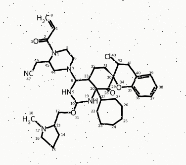 C=CC(=O)N1CCN(C2NC(OCC3CCCN3C)NC3(C4CCCCCC4)C(=O)[C@@]4(CCC23)Oc2ccccc2CC4Cl)CC1CC#N